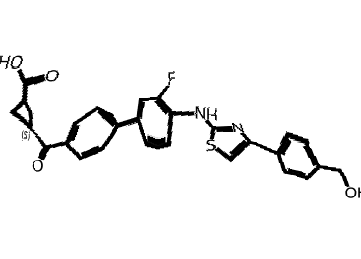 O=C(O)C1C[C@@H]1C(=O)c1ccc(-c2ccc(Nc3nc(-c4ccc(CO)cc4)cs3)c(F)c2)cc1